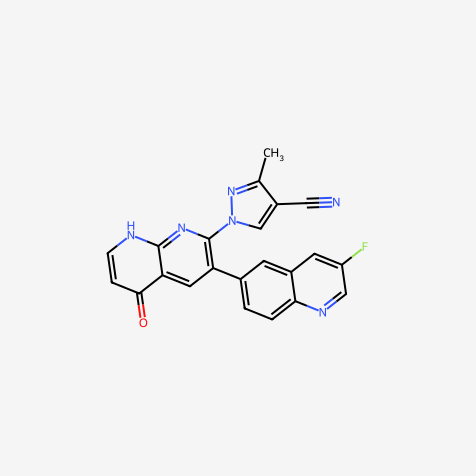 Cc1nn(-c2nc3[nH]ccc(=O)c3cc2-c2ccc3ncc(F)cc3c2)cc1C#N